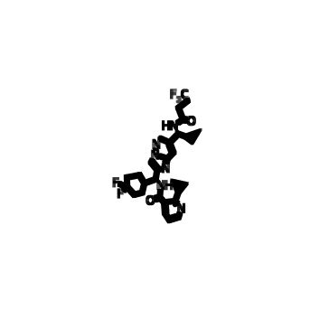 O=C(CCC(F)(F)F)N[C@@H](c1cnn2cc([C@@H](NC(=O)c3cccnc3C3CC3)C3CCC(F)(F)CC3)nc2c1)C1CC1